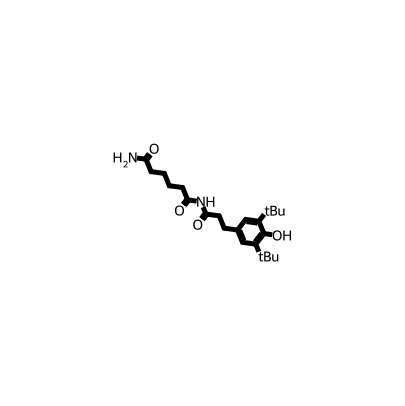 CC(C)(C)c1cc(CCC(=O)NC(=O)CCCCC(N)=O)cc(C(C)(C)C)c1O